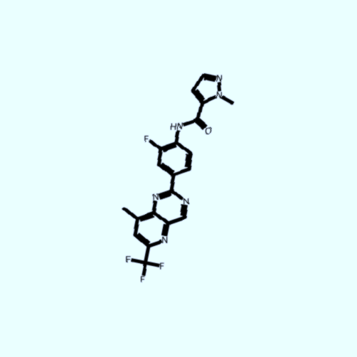 Cc1cc(C(F)(F)F)nc2cnc(-c3ccc(NC(=O)c4ccnn4C)c(F)c3)nc12